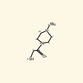 CC(C)(C)N1CCN(C(=O)CS)CC1